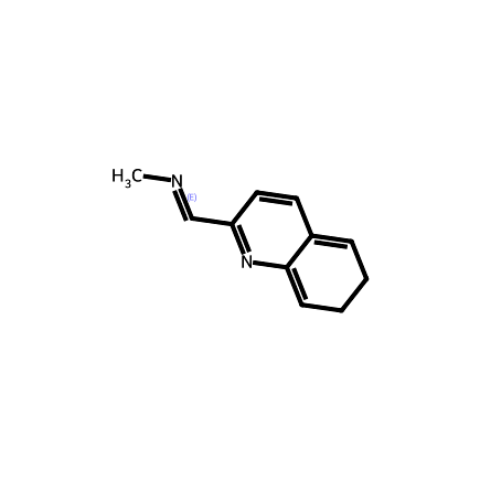 C/N=C/c1ccc2c(n1)=CCCC=2